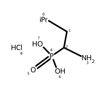 CC(C)CC(N)P(=O)(O)O.Cl